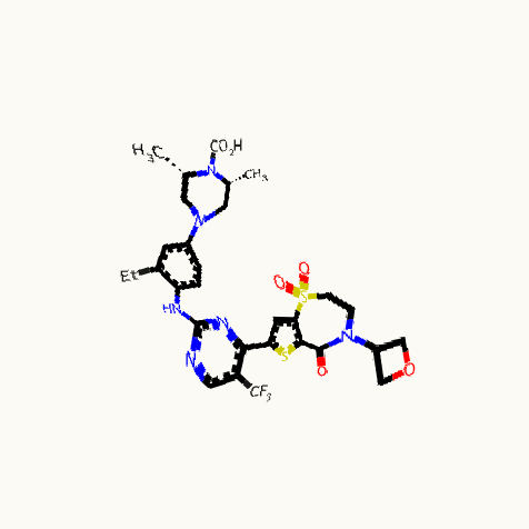 CCc1cc(N2C[C@@H](C)N(C(=O)O)[C@@H](C)C2)ccc1Nc1ncc(C(F)(F)F)c(-c2cc3c(s2)C(=O)N(C2COC2)CCS3(=O)=O)n1